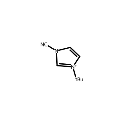 CC(C)(C)[n+]1ccn(C#N)c1